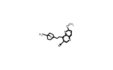 COc1ccc2ncc(C#N)c(CCC34CCC(N)(CC3)CO4)c2n1